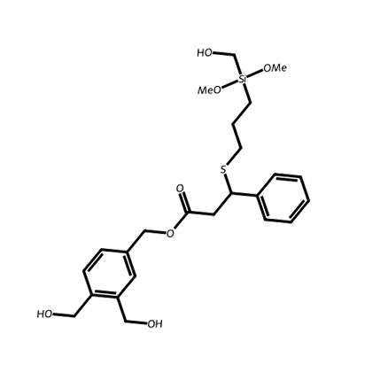 CO[Si](CO)(CCCSC(CC(=O)OCc1ccc(CO)c(CO)c1)c1ccccc1)OC